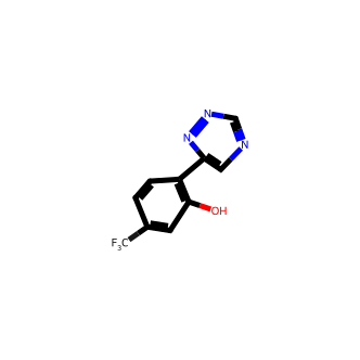 Oc1cc(C(F)(F)F)ccc1-c1cncnn1